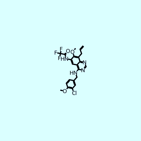 C=CCc1c(OC)c(NC(=O)C(F)(F)F)cc2c(NCc3ccc(OC)c(Cl)c3)ncnc12